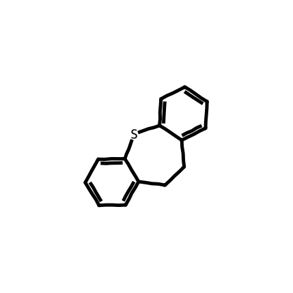 c1ccc2c(c1)CCc1ccccc1S2